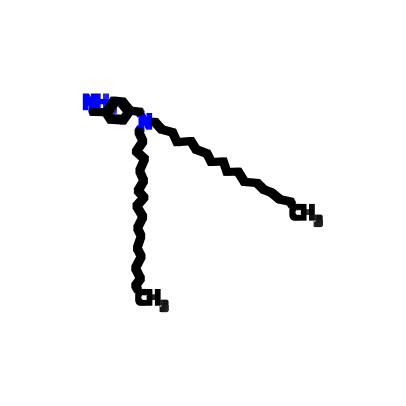 CCCCCCCCCCCCCCCCCCN(CCCCCCCCCCCCCCCCCC)Cc1ccc(CN)cc1